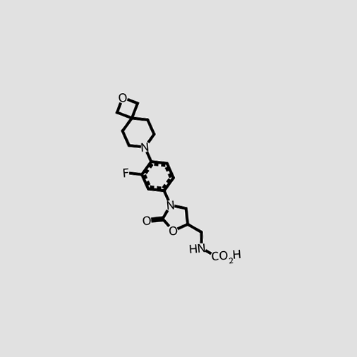 O=C(O)NCC1CN(c2ccc(N3CCC4(CC3)COC4)c(F)c2)C(=O)O1